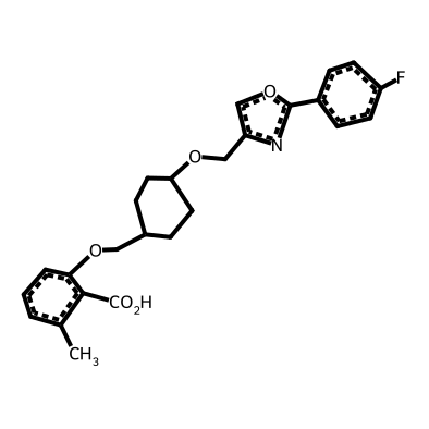 Cc1cccc(OCC2CCC(OCc3coc(-c4ccc(F)cc4)n3)CC2)c1C(=O)O